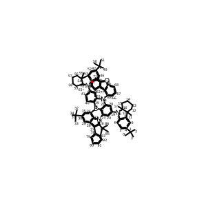 CC(C)(C)c1ccc2c(c1)C1(C)CCCCC1(C)N2c1cc2c3c(c1)-n1c4c(c5cc(C(C)(C)C)cc(c51)B3c1ccc(N3c5ccc(C(C)(C)C)cc5C5(C)CCCC[C@]35C)cc1N2c1cccc2oc3ccccc3c12)-c1ccccc1C4(C)C